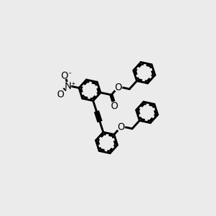 O=C(OCc1ccccc1)c1ccc([N+](=O)[O-])cc1C#Cc1ccccc1OCc1ccccc1